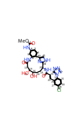 COC(=O)Nc1ccc2c(c1)NC(=O)CC(O)C(O)CC[C@H](NC(=O)/C=C/c1cc(Cl)ccc1-n1cnnn1)c1nc-2c[nH]1